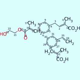 C/C(=C\Cc1ccccc1)C(=O)O.C=C(C)C(=O)O.C=C(C)C(=O)OCCO.C=Cc1ccccc1